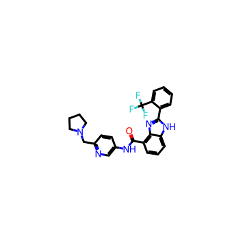 O=C(Nc1ccc(CN2CCCC2)nc1)c1cccc2[nH]c(-c3ccccc3C(F)(F)F)nc12